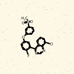 CS(=O)(=O)c1cccc(Oc2ccc(F)c(-c3ncnc4c(Cl)cccc34)c2)c1